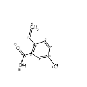 C=Cc1ccc(Cl)cc1C(=O)O